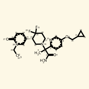 CC(C(N)=O)(c1ccc(OCC2CC2)cn1)N1CCC(F)(F)[C@@H](c2ccc(=O)n(CC(F)(F)F)c2)C1